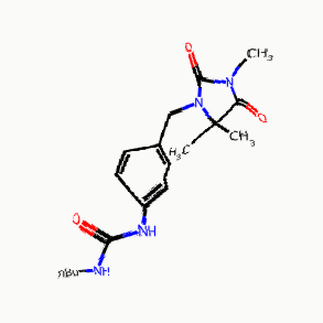 CCCCNC(=O)Nc1ccc(CN2C(=O)N(C)C(=O)C2(C)C)cc1